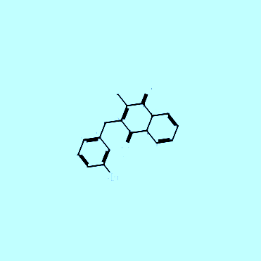 CC1=C(Cc2cccc(Br)c2)C(=O)C2C=CC=CC2C1=O